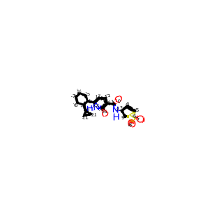 O=C(N[C@@H]1C=CS(=O)(=O)C1)c1ccc(C2CCCCC2C2CC2)[nH]c1=O